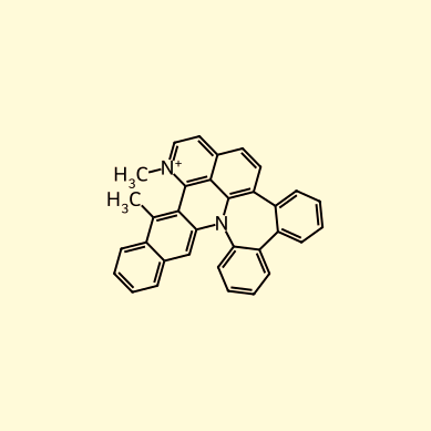 Cc1c2ccccc2cc2c1c1c3c4c(ccc3cc[n+]1C)c1ccccc1c1ccccc1n2-4